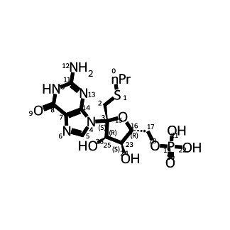 CCCSC[C@@]1(n2cnc3c(=O)[nH]c(N)nc32)O[C@H](COP(=O)(O)O)[C@@H](O)[C@H]1O